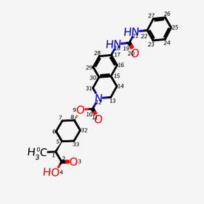 CC(C(=O)O)[C@H]1CC[C@H](OC(=O)N2CCc3cc(NC(=O)Nc4ccccc4)ccc3C2)CC1